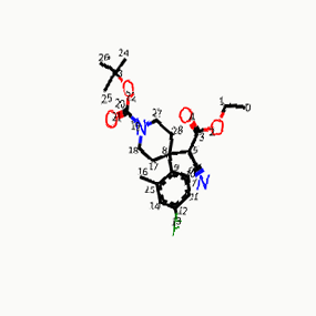 CCOC(=O)C(C#N)C1(c2ccc(F)cc2C)CCN(C(=O)OC(C)(C)C)CC1